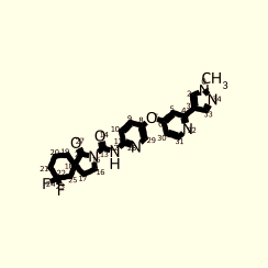 Cn1cc(-c2cc(Oc3ccc(NC(=O)N4CCC5(CCCC(F)(F)C5)C4=O)nc3)ccn2)cn1